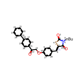 CCCCN1C(=O)S/C(=C\c2ccc(OCC(=O)c3ccc(-c4ccccc4)cc3)cc2)C1=O